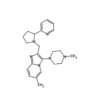 Cc1ccc2nc(CN3CCCC3c3ccccn3)c(N3CCN(C)CC3)n2c1